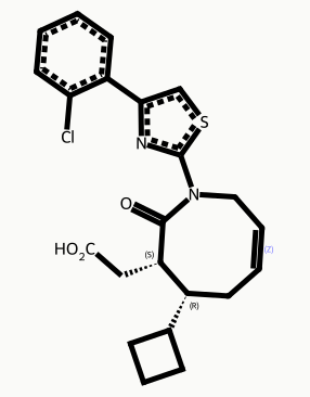 O=C(O)C[C@@H]1C(=O)N(c2nc(-c3ccccc3Cl)cs2)C/C=C\C[C@@H]1C1CCC1